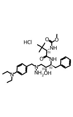 CCN(CC)c1ccc(CN(N)C[C@H](O)[C@H](Cc2ccccc2)NC(=O)[C@@H](NC(=O)OC)C(C)(C)C)cc1.Cl